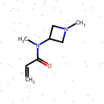 C=CC(=O)N(C)C1CN(C)C1